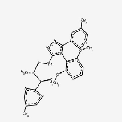 COc1cccc(OC)c1-n1c(NS[C@@H](C)[C@@H](C)c2ncc(C)cn2)nnc1-c1cncc(C)c1